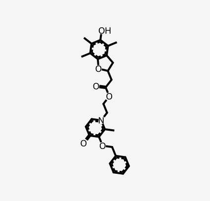 Cc1c(C)c2c(c(C)c1O)CC(CC(=O)OCCn1ccc(=O)c(OCc3ccccc3)c1C)O2